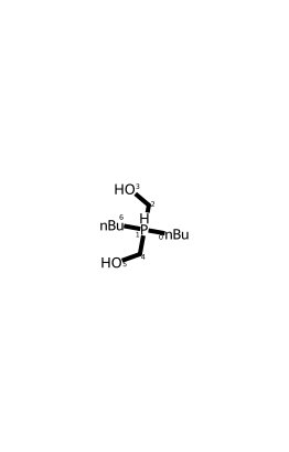 CCCC[PH](CO)(CO)CCCC